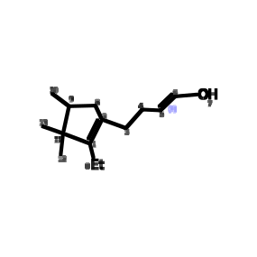 CCC1=C(CC/C=C/O)CC(C)C1(C)C